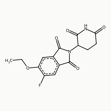 CCOc1cc2c(cc1F)C(=O)N(C1CCC(=O)NC1=O)C2=O